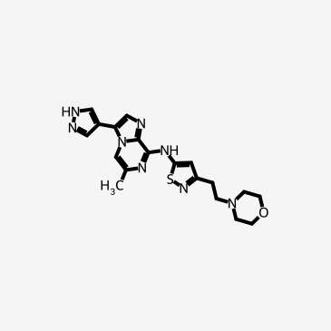 Cc1cn2c(-c3cn[nH]c3)cnc2c(Nc2cc(CCN3CCOCC3)ns2)n1